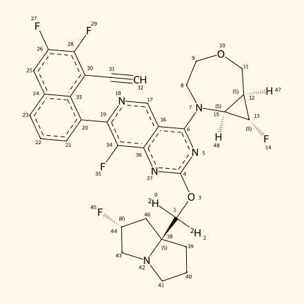 [2H]C([2H])(Oc1nc(N2CCOC[C@H]3[C@H](F)[C@H]32)c2cnc(-c3cccc4cc(F)c(F)c(C#C)c34)c(F)c2n1)[C@@]12CCCN1C[C@H](F)C2